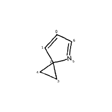 C1=CC2(CC2)N=C1